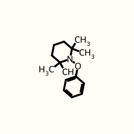 CC1(C)CCCC(C)(C)N1Oc1ccccc1